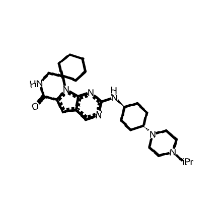 CC(C)N1CCN([C@H]2CC[C@H](Nc3ncc4cc5n(c4n3)C3(CCCCC3)CNC5=O)CC2)CC1